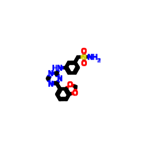 NS(=O)(=O)Cc1cccc(Nc2ncnc(-c3cccc4c3OCO4)n2)c1